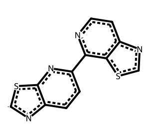 [c]1nc2ccc(-c3nccc4ncsc34)nc2s1